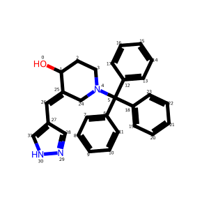 OC1CCN(C(c2ccccc2)(c2ccccc2)c2ccccc2)C/C1=C\c1cn[nH]c1